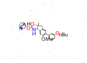 CCCCOc1cccc(-c2cc3c(cc2OC)C(NC(=O)O[C@H]2CN4CCC2CC4)C(C)(C)C3)c1